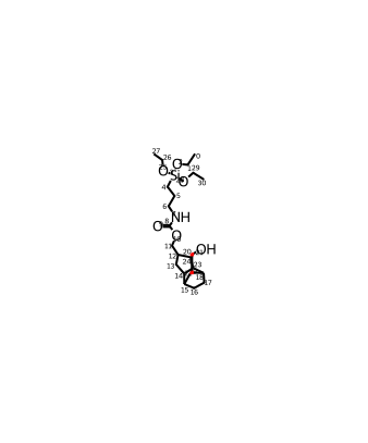 CCO[Si](CCCNC(=O)OCC1CC2C3CCC(C(CO)C3)C2C1)(OCC)OCC